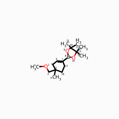 COCC1(C)CC=C(B2OC(C)(C)C(C)(C)O2)CC1